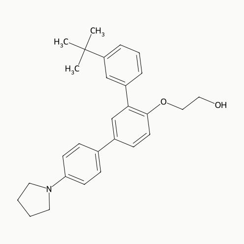 CC(C)(C)c1cccc(-c2cc(-c3ccc(N4CCCC4)cc3)ccc2OCCO)c1